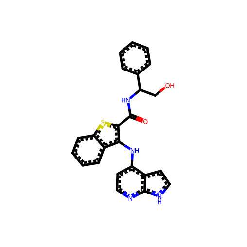 O=C(NC(CO)c1ccccc1)c1sc2ccccc2c1Nc1ccnc2[nH]ccc12